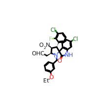 CCOc1cccc(CN2[C@@H](CC=O)[C@@H]([N+](=O)[O-])[C@H](c3cccc(Cl)c3F)[C@]23C(=O)Nc2cc(Cl)ccc23)c1